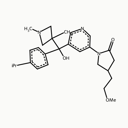 COCCC1CC(=O)N(c2cncc(C(O)(c3ccc(C(C)C)cc3)C3(C)CN(C)C3)c2)C1